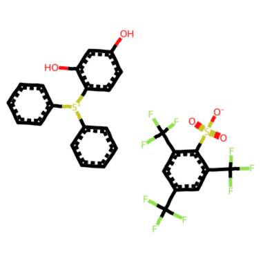 O=S(=O)([O-])c1c(C(F)(F)F)cc(C(F)(F)F)cc1C(F)(F)F.Oc1ccc([S+](c2ccccc2)c2ccccc2)c(O)c1